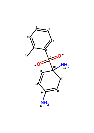 Cc1ccccc1S(=O)(=O)C1(N)C=CC(N)=CC1